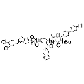 CCCCN(Cc1ccc(-c2ccc(Cl)cc2)cc1)C(=O)c1nn(-c2ccc(C(=O)NS(=O)(=O)c3ccc4c(c3)CCN4Cc3ccc(Cl)c(Cl)c3)cc2C(=O)N2CCc3ccccc3C2)c(C)c1Cl